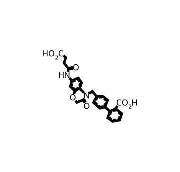 O=C(O)CCC(=O)Nc1ccc2c(c1)OCC(=O)N2Cc1ccc(-c2ccccc2C(=O)O)cc1